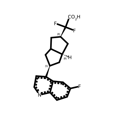 O=C(O)C(F)(F)[C@@H]1CC2C[C@H](c3ccnc4ccc(F)cc34)C[C@@H]2C1